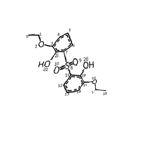 CCOc1cccc(S(=O)(=O)c2cccc(OCC)c2O)c1O